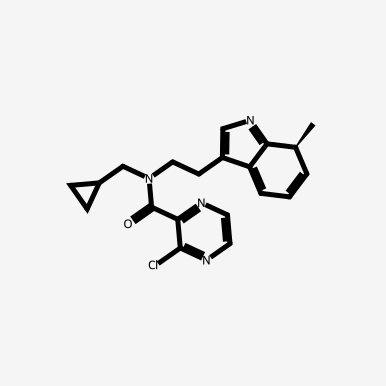 C[C@H]1C=CC=C2C(CCN(CC3CC3)C(=O)c3nccnc3Cl)=CN=C21